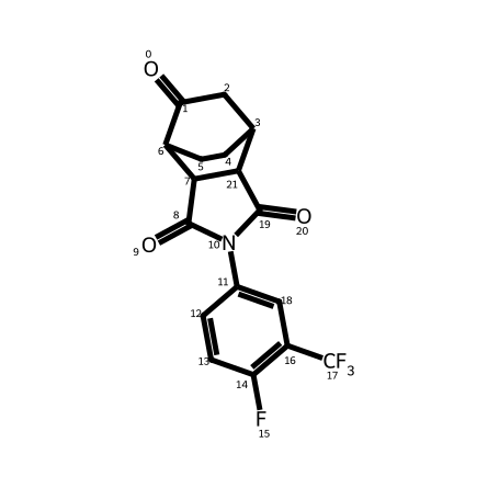 O=C1CC2CCC1C1C(=O)N(c3ccc(F)c(C(F)(F)F)c3)C(=O)C21